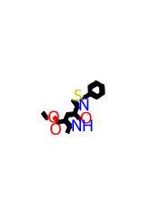 CCOC(=O)c1cc(-c2csc(-c3ccccc3)n2)c(=O)[nH]c1C